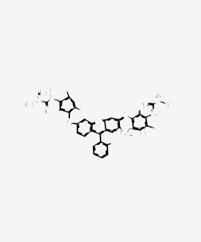 Cc1cc(C)c(NC(=O)N(C(C)C)C(C)C)c(C)c1/N=c1/cc2oc3cc(Nc4c(C)cc(C)c(NC(=O)N(C(C)C)C(C)C)c4C)ccc3c(-c3ccccc3S(=O)(=O)O)c-2cc1S(=O)(=O)O